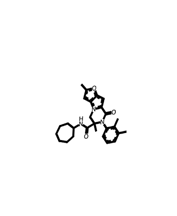 Cc1cc2c(cc3n2CC(C)(C(=O)NC2CCCCCC2)N(c2cccc(C)c2C)C3=O)o1